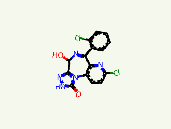 O=c1[nH]nc2n1-c1ccc(Cl)nc1C(c1ccccc1Cl)=NC2O